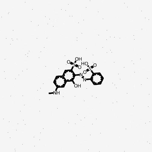 CNc1ccc2cc(S(=O)(=O)O)c(N=Nc3ccccc3S(=O)(=O)O)c(O)c2c1